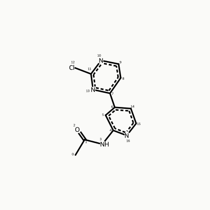 CC(=O)Nc1cc(-c2ccnc(Cl)n2)ccn1